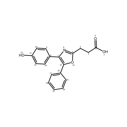 O=C(O)CCc1nc(-c2ccc(O)cc2)c(-c2ccccc2)o1